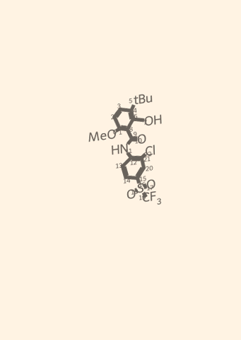 COc1ccc(C(C)(C)C)c(O)c1C(=O)Nc1ccc(S(=O)(=O)C(F)(F)F)cc1Cl